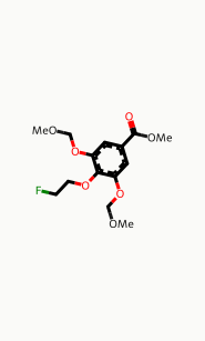 COCOc1cc(C(=O)OC)cc(OCOC)c1OCCF